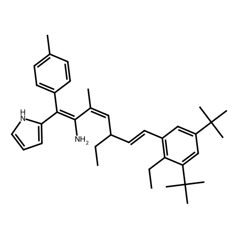 CCc1c(/C=C/C(/C=C(C)\C(N)=C(/c2ccc(C)cc2)c2ccc[nH]2)CC)cc(C(C)(C)C)cc1C(C)(C)C